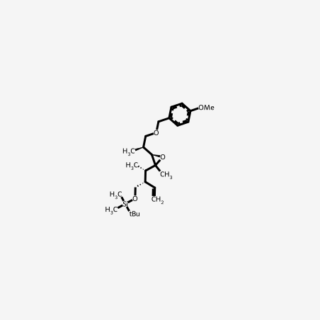 C=C[C@H](CO[Si](C)(C)C(C)(C)C)[C@H](C)C1(C)O[C@@H]1[C@@H](C)COCc1ccc(OC)cc1